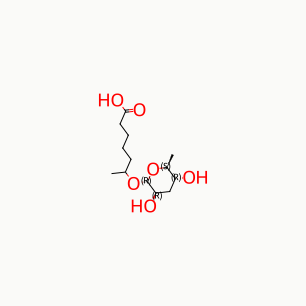 CC(CCCCC(=O)O)O[C@@H]1O[C@@H](C)[C@H](O)C[C@H]1O